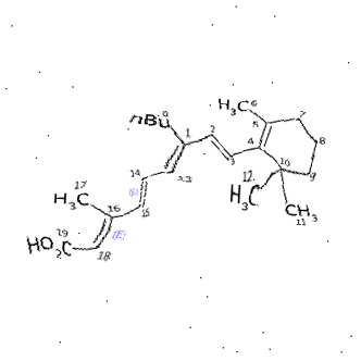 CCCCC(C=CC1=C(C)CCCC1(C)C)=C/C=C/C(C)=C/C(=O)O